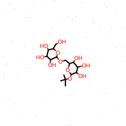 CC(C)(C)OC1OC(COC2OC(CO)C(O)C(O)C2O)C(O)C(O)C1O